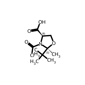 CC(C)(C)[C@]1(C)OC[C@H](C(=O)O)N1C(=O)Cl